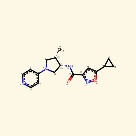 C[C@H]1CN(c2ccncc2)C[C@H]1NC(=O)c1cc(C2CC2)on1